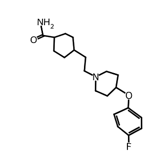 NC(=O)C1CCC(CCN2CCC(Oc3ccc(F)cc3)CC2)CC1